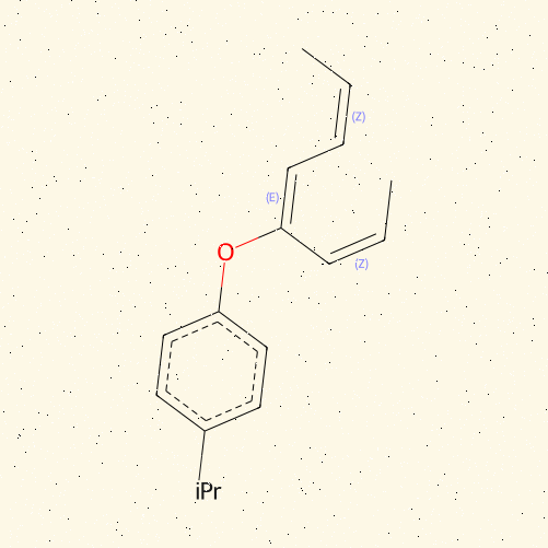 C\C=C/C=C(\C=C/C)Oc1ccc(C(C)C)cc1